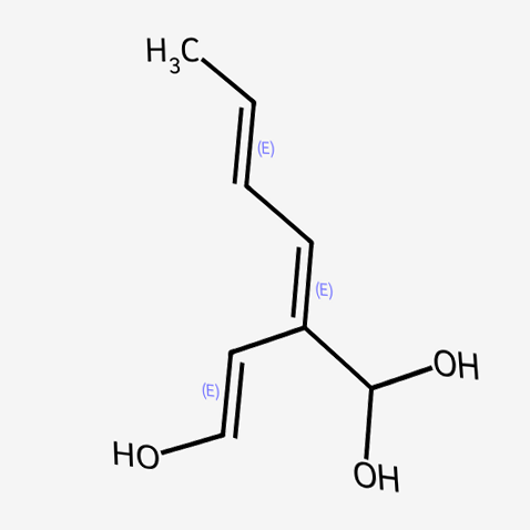 C/C=C/C=C(\C=C\O)C(O)O